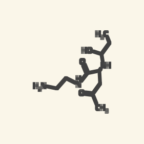 CCC(O)NC(CC(C)=O)C(=O)NCCN